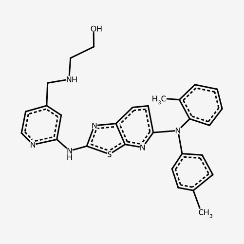 Cc1ccc(N(c2ccc3nc(Nc4cc(CNCCO)ccn4)sc3n2)c2ccccc2C)cc1